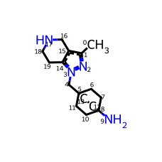 Cc1nn(CC23CCC(N)(CC2)CC3)c2c1CNCC2